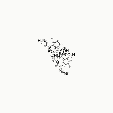 Cc1ccc(C(=O)[C@](O)(C(=O)O)[C@@](O)(C(=O)O)C(=O)c2ccc(C)cc2)cc1.[N-]=[N+]=NCCOCCOCCOCCN